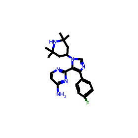 CC1(C)CC(n2cnc(-c3ccc(F)cc3)c2-c2nccc(N)n2)CC(C)(C)N1